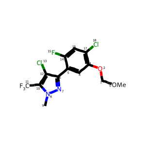 COCOc1cc(-c2nn(C)c(C(F)(F)F)c2Cl)c(F)cc1Cl